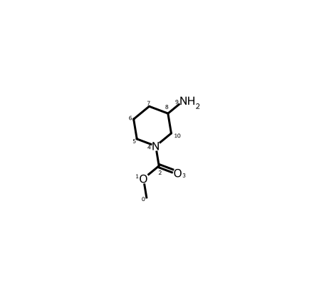 COC(=O)N1CCCC(N)C1